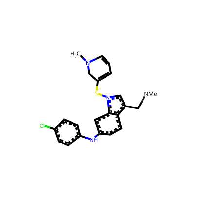 CNCc1cn(SC2=CC=CN(C)C2)c2cc(Nc3ccc(Cl)cc3)ccc12